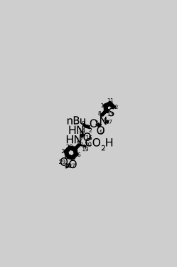 CCCC[C@@H](COC(=O)N(C)Cc1cccs1)NC(=O)N[C@@H](CC(=O)O)c1ccc2c(c1)OCO2